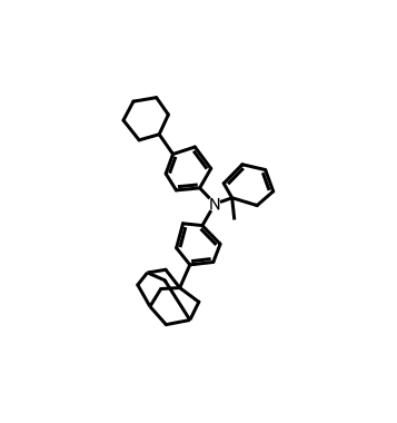 CC1(N(c2ccc(C3CCCCC3)cc2)c2ccc(C34CC5CC(CC(C5)C3)C4)cc2)C=CC=CC1